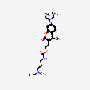 CCN(CC)c1ccc2c(C)c(CCOC(=O)NCCCN(C)C)c(=O)oc2c1